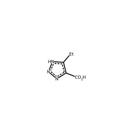 CCc1[nH]nnc1C(=O)O